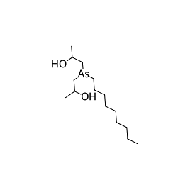 CCCCCCCCC[As](CC(C)O)CC(C)O